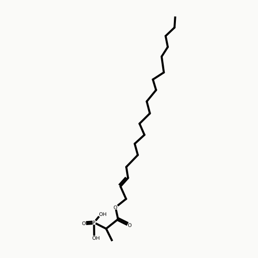 CCCCCCCCCCCCCCCC=CCOC(=O)C(C)P(=O)(O)O